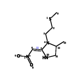 CSCCN1/C(=C/[N+](=O)[O-])NCC1C